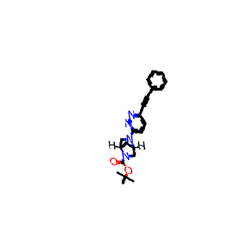 CC(C)(C)OC(=O)N1C[C@@H]2C[C@H]1CN2c1ccc(C#Cc2ccccc2)nn1